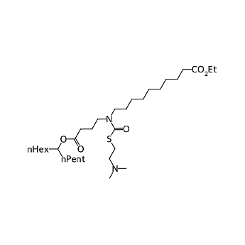 CCCCCCC(CCCCC)OC(=O)CCCN(CCCCCCCCCC(=O)OCC)C(=O)SCCN(C)C